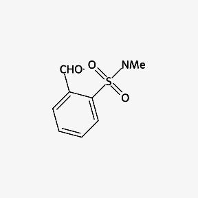 CNS(=O)(=O)c1ccccc1[C]=O